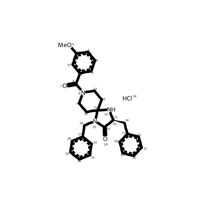 COc1cccc(C(=O)N2CCC3(CC2)N[C@@H](Cc2ccccc2)C(=O)N3Cc2ccccc2)c1.Cl